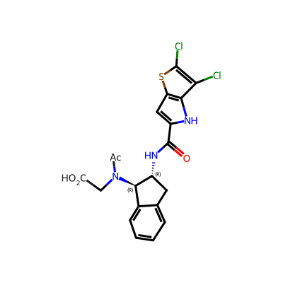 CC(=O)N(CC(=O)O)[C@@H]1c2ccccc2C[C@H]1NC(=O)c1cc2sc(Cl)c(Cl)c2[nH]1